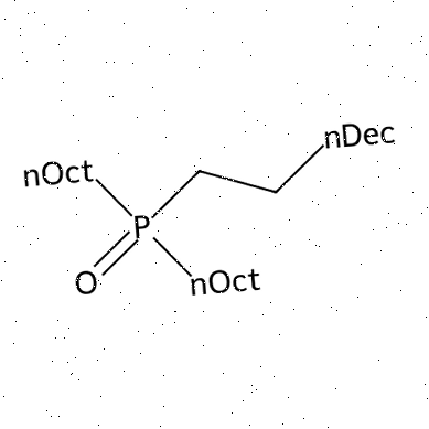 CCCCCCCCCCCCP(=O)(CCCCCCCC)CCCCCCCC